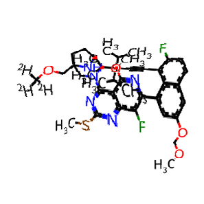 [2H]C([2H])([2H])OCC12CCC(CN(c3nc(SC)nc4c(F)c(-c5cc(OCOC)cc6ccc(F)c(C#C[Si](C(C)C)(C(C)C)C(C)C)c56)nc(OC)c34)C1)N2